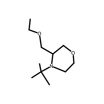 CCOCC1COCCN1C(C)(C)C